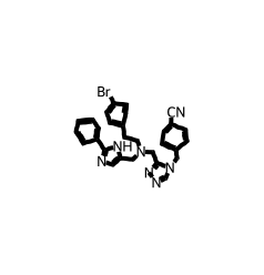 N#Cc1ccc(Cn2cnnc2CN(CCc2ccc(Br)cc2)Cc2cnc(-c3ccccc3)[nH]2)cc1